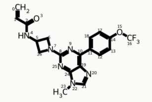 C=CC(=O)NC1CN(c2nc(-c3ccc(OC(F)(F)F)cc3)c3ncn(C)c3n2)C1